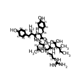 CC[C@H](C)[C@H](NC(=O)[C@H](CCCNC(=N)N)NC(=O)[C@H](CC(C)C)NC(=O)[C@H](Cc1ccc(O)cc1)NC(=O)[C@@H](N)Cc1ccc(O)cc1)C(=O)O